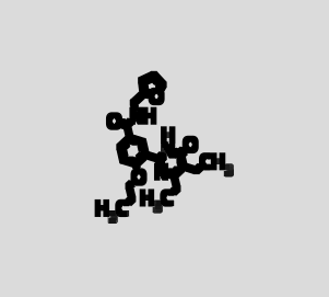 CCCOc1ccc(C(=O)NCc2ccco2)cc1-c1nc(CC)c(CC)c(=O)[nH]1